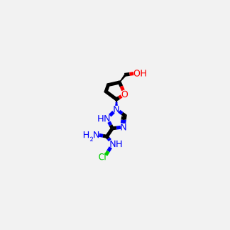 NC(NCl)C1N=CN([C@H]2CC[C@@H](CO)O2)N1